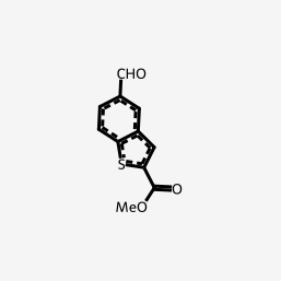 COC(=O)c1cc2cc(C=O)ccc2s1